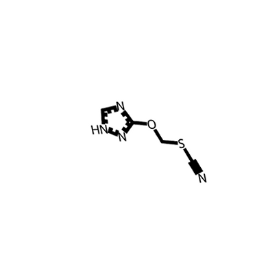 N#CSCOc1nc[nH]n1